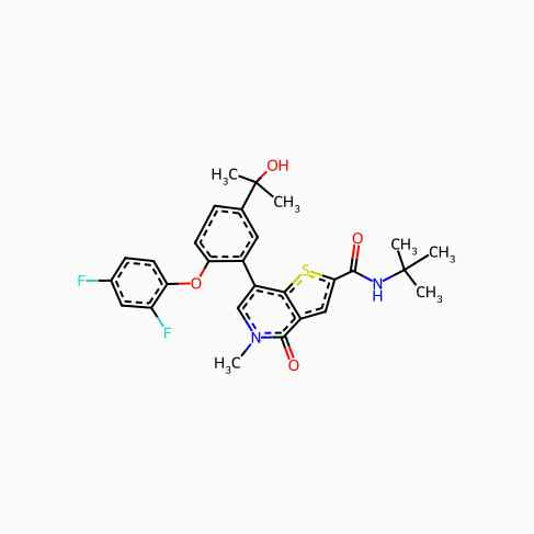 Cn1cc(-c2cc(C(C)(C)O)ccc2Oc2ccc(F)cc2F)c2sc(C(=O)NC(C)(C)C)cc2c1=O